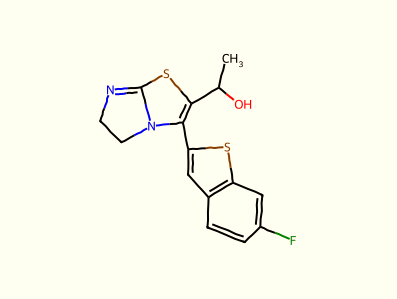 CC(O)C1=C(c2cc3ccc(F)cc3s2)N2CCN=C2S1